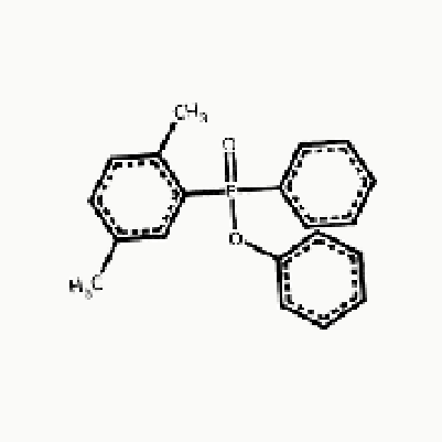 Cc1ccc(C)c(P(=O)(Oc2ccccc2)c2ccccc2)c1